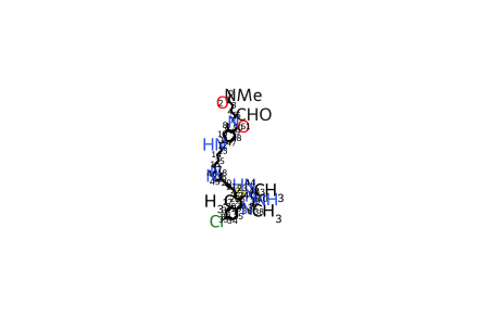 CNC(=O)CCC(C=O)N1Cc2cc(NCCCCn3cc(C#Cc4sc5c(c4C)C(c4ccc(Cl)cc4)=N[C@@H](C)C(=N)N5C(C)=N)cn3)ccc2C1=O